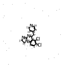 Clc1cccc(C(Cc2ccncc2)N=C2N=CCN2)c1Cl